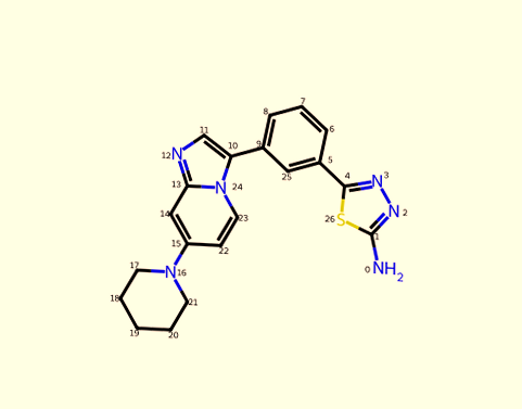 Nc1nnc(-c2cccc(-c3cnc4cc(N5CCCCC5)ccn34)c2)s1